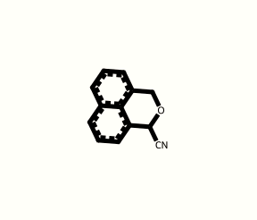 N#CC1OCc2cccc3cccc1c23